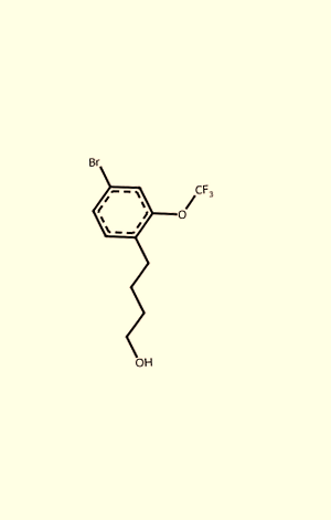 OCCCCc1ccc(Br)cc1OC(F)(F)F